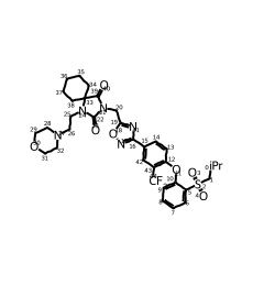 CC(C)CS(=O)(=O)c1ccccc1Oc1ccc(-c2noc(CN3C(=O)N(CCN4CCOCC4)C4(CCCCC4)C3=O)n2)cc1C(F)(F)F